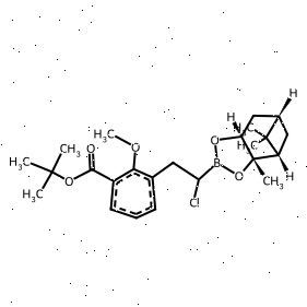 COc1c(CC(Cl)B2O[C@@H]3C[C@@H]4C[C@@H](C4(C)C)[C@]3(C)O2)cccc1C(=O)OC(C)(C)C